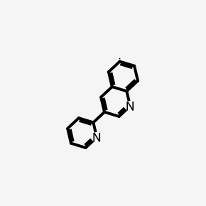 [c]1ccc2ncc(-c3ccccn3)cc2c1